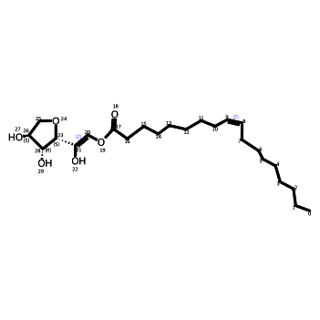 CCCCCCCC/C=C\CCCCCCCC(=O)O/C=C(\O)[C@H]1OC[C@H](O)[C@H]1O